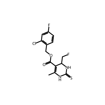 CC1=C(C(=O)OCc2ccc(F)cc2Cl)C(CF)NC(=S)N1